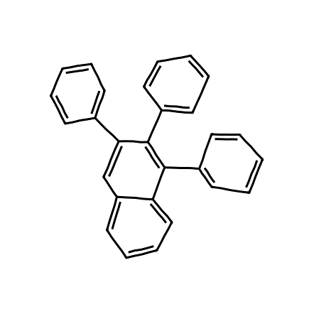 c1ccc(-c2cc3ccccc3c(-c3ccccc3)c2-c2ccccc2)cc1